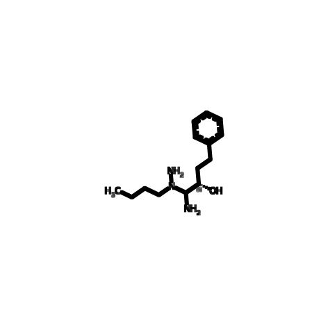 CCCCN(N)C(N)[C@@H](O)CCc1ccccc1